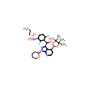 CCCS(=O)(=O)Nc1ccc(F)c(C(=O)c2nn(C3CCCCO3)c3nccc(B4OC(C)(C)C(C)(C)O4)c23)c1F